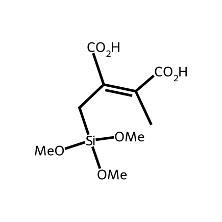 CO[Si](CC(C(=O)O)=C(C)C(=O)O)(OC)OC